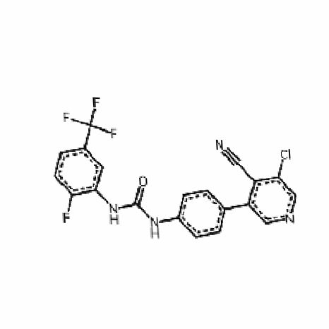 N#Cc1c(Cl)cncc1-c1ccc(NC(=O)Nc2cc(C(F)(F)F)ccc2F)cc1